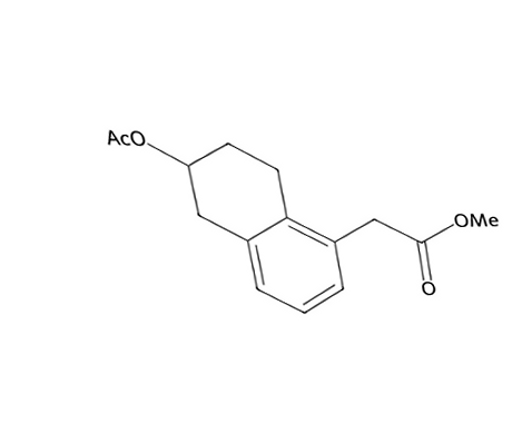 COC(=O)Cc1cccc2c1CCC(OC(C)=O)C2